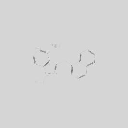 CC(C)(C)n1nc(Cc2cccc3ccccc23)c2c(N)nccc21